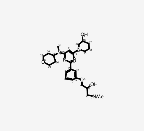 CNCC(O)COc1cccc(-c2nc(N3CCC[C@H](O)C3)cc(N(C)C3CCOCC3)n2)c1